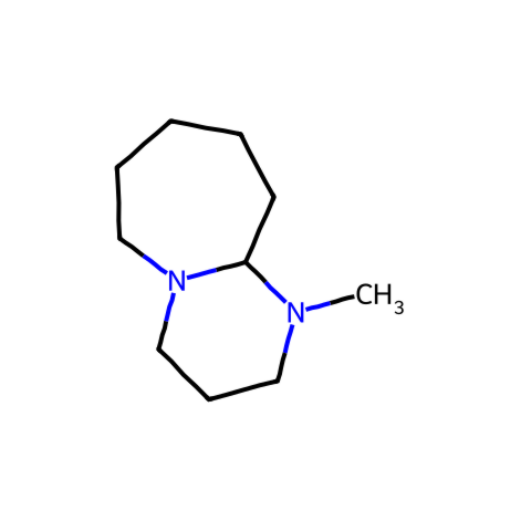 CN1CCCN2CCCCCC12